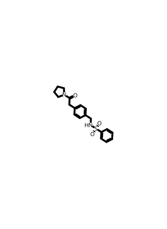 O=C(Cc1ccc(CNS(=O)(=O)c2ccccc2)cc1)N1CCCC1